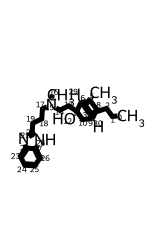 CCCC1=C(C)[C@@H]2CC[C@H]1C[C@]2(O)CCN(C)CCCc1nc2ccccc2[nH]1